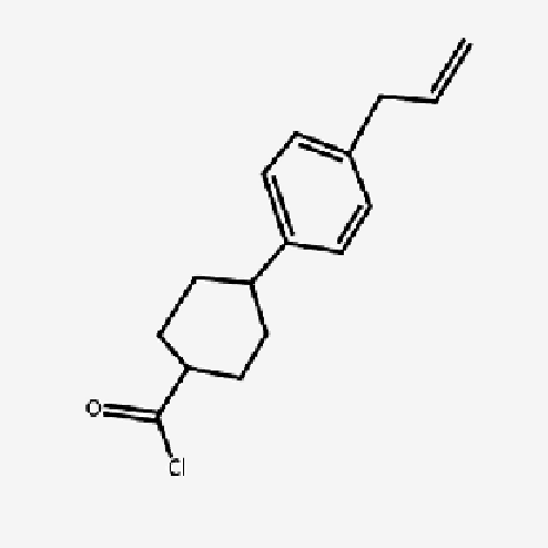 C=CCc1ccc(C2CCC(C(=O)Cl)CC2)cc1